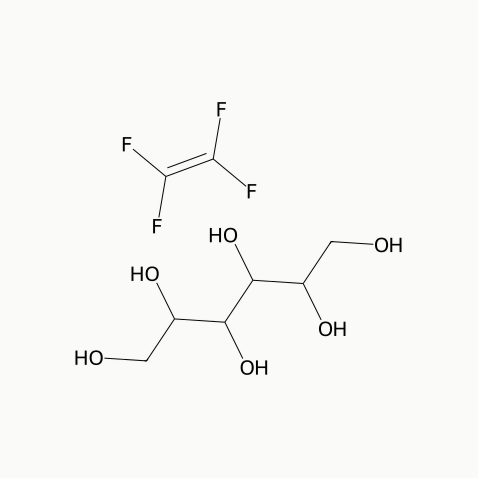 FC(F)=C(F)F.OCC(O)C(O)C(O)C(O)CO